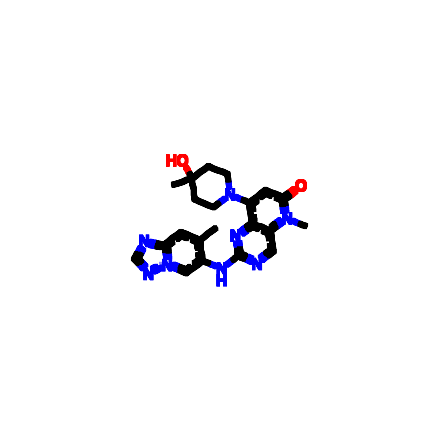 Cc1cc2ncnn2cc1Nc1ncc2c(n1)c(N1CCC(C)(O)CC1)cc(=O)n2C